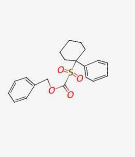 O=C(OCc1ccccc1)S(=O)(=O)C1(c2ccccc2)CCCCC1